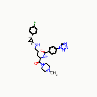 CN1CCN(C(=O)C(CCCN[C@@H]2C[C@H]2c2ccc(F)cc2)NC(=O)c2ccc(-n3cnnn3)cc2)CC1